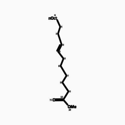 CCCCCCCCCCC=CCCCCCC(=O)OC